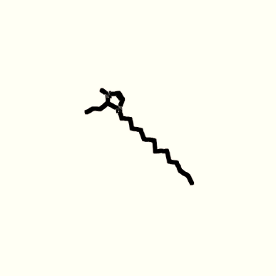 CCCCCCCCCCCCCN1C=CN(C)C1CCC